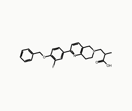 CC(CN1CCc2nc(-c3ccc(OCc4ccccc4)c(F)c3)ccc2C1)C(=O)O